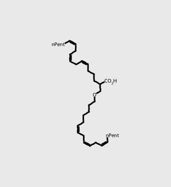 CCCCC/C=C\C/C=C\C/C=C\CCCCCOCC(CCC/C=C\C/C=C\C/C=C\CCCCC)C(=O)O